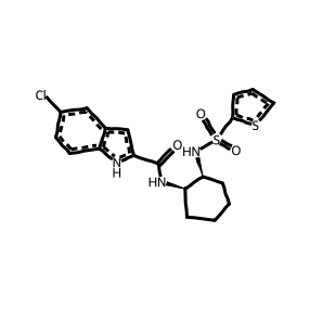 O=C(N[C@@H]1CCCC[C@@H]1NS(=O)(=O)c1cccs1)c1cc2cc(Cl)ccc2[nH]1